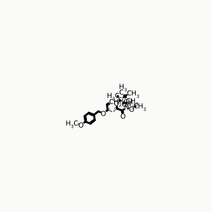 C=C[C@H](C[C@H](O[Si](C)(C)C(C)(C)C)C(=O)N(C)OC)OCc1ccc(OC)cc1